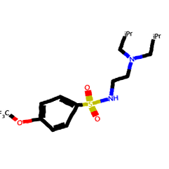 CC(C)CN(CCNS(=O)(=O)c1ccc(OC(F)(F)F)cc1)CC(C)C